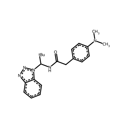 CN(C)c1ccc(CC(=O)NC(n2nnc3ccccc32)C(C)(C)C)cc1